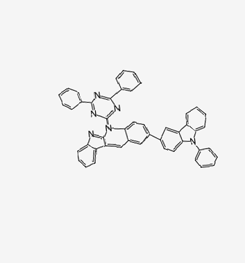 c1ccc(-c2nc(-c3ccccc3)nc(-n3c4nc5ccccc5c-4cc4cc(-c5ccc6c(c5)c5ccccc5n6-c5ccccc5)ccc43)n2)cc1